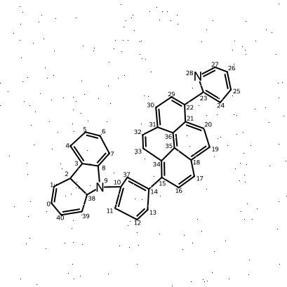 C1=CC2c3ccccc3N(c3cccc(-c4ccc5ccc6c(-c7ccccn7)ccc7ccc4c5c76)c3)C2C=C1